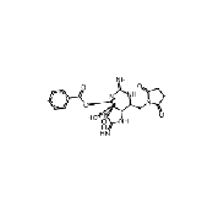 N=C1NC2[C@H](CN3C(=O)CCC3=O)NC(=N)N3C[C@H](OC(=O)c4ccccc4)C(O)(O)C23N1